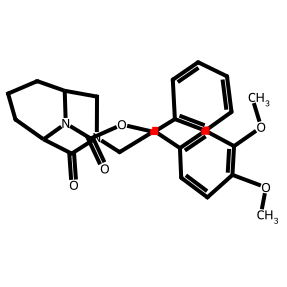 COc1ccc(CCN2CC3CCCC(C2=O)N3C(=O)OCc2ccccc2)cc1OC